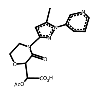 CC(=O)OC(C(=O)O)C1OCCN(c2cc(C)n(-c3cccnc3)n2)C1=O